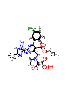 CCOC(=O)C1=C(CN2CCOC[C@H]2C(=O)O)NC(c2nc(C)c[nH]2)=N[C@H]1c1ccc(F)c(F)c1